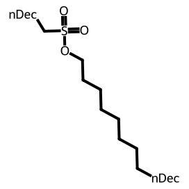 CCCCCCCCCCCCCCCCCCOS(=O)(=O)CCCCCCCCCCC